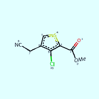 COC(=O)c1scc(CC#N)c1Cl